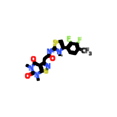 [CH2]n1c(-c2ccc(C(F)(F)F)c(F)c2F)cs/c1=N/C(=O)Cc1nsc2c1c(=O)n(C)c(=O)n2C